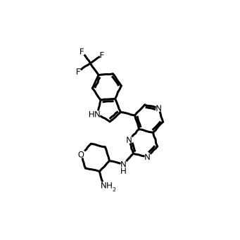 NC1COCCC1Nc1ncc2cncc(-c3c[nH]c4cc(C(F)(F)F)ccc34)c2n1